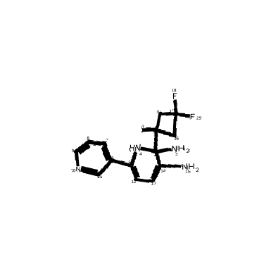 CC1(C2(N)NC(c3cccnc3)=CC=C2N)CC(F)(F)C1